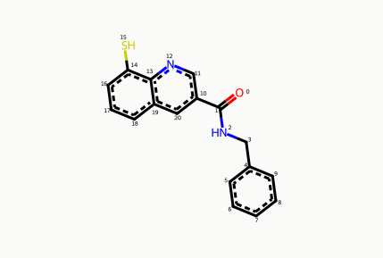 O=C(NCc1ccccc1)c1cnc2c(S)cccc2c1